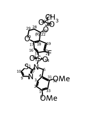 COc1ccc(CN(c2nccs2)S(=O)(=O)c2cc3c(cc2F)[C@H](OS(C)(=O)=O)CCO3)c(OC)c1